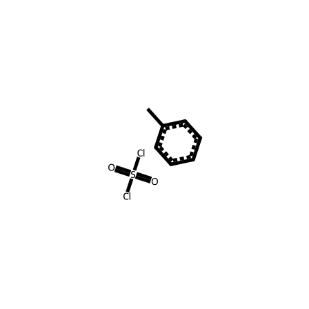 Cc1ccccc1.O=S(=O)(Cl)Cl